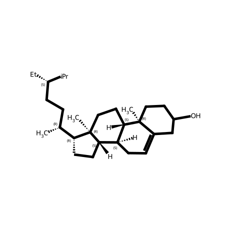 CC[C@@H](CC[C@@H](C)[C@H]1CC[C@H]2[C@@H]3CC=C4CC(O)CC[C@]4(C)[C@H]3CC[C@]12C)C(C)C